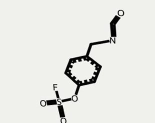 O=C=NCc1ccc(OS(=O)(=O)F)cc1